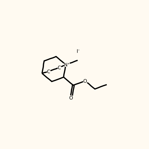 CCOC(=O)C1CC2CC[N+]1(C)CC2.[I-]